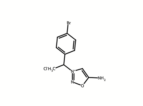 CC(c1ccc(Br)cc1)[n+]1cc(N)on1.[Cl-]